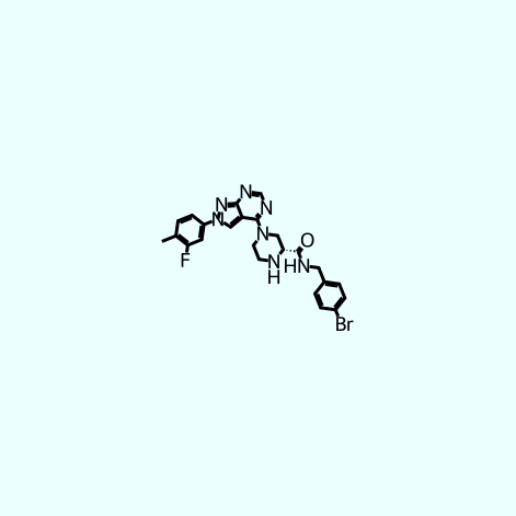 Cc1ccc(-n2cc3c(N4CCN[C@@H](C(=O)NCc5ccc(Br)cc5)C4)ncnc3n2)cc1F